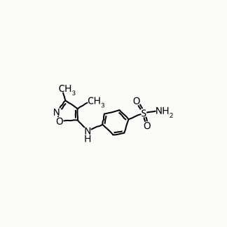 Cc1noc(Nc2ccc(S(N)(=O)=O)cc2)c1C